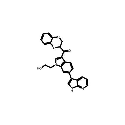 O=C(c1cn(CCO)c2cc(-c3c[nH]c4ncccc34)ccc12)C1COc2ccccc2O1